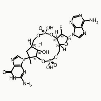 CC1(n2cnc3c(=O)[nH]c(N)nc32)C[C@@H]2COP(=O)(O)O[C@H]3[C@@H](F)[C@H](n4cnc5c(N)ncnc54)O[C@@H]3COP(=O)(O)O[C@@]1(C)[C@@H]2O